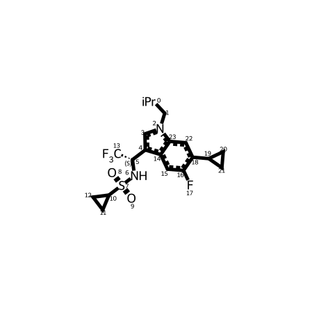 CC(C)Cn1cc([C@H](NS(=O)(=O)C2CC2)C(F)(F)F)c2cc(F)c(C3CC3)cc21